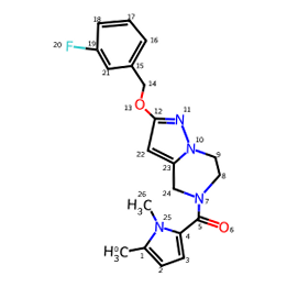 Cc1ccc(C(=O)N2CCn3nc(OCc4cccc(F)c4)cc3C2)n1C